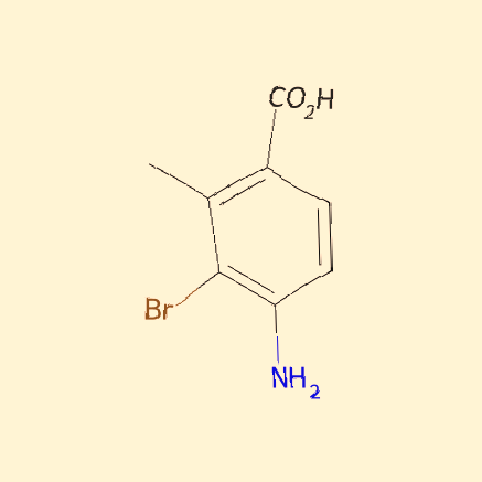 Cc1c(C(=O)O)ccc(N)c1Br